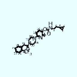 O=C(NCCC1CC1)Oc1ccc(N2CCN(C(=O)Cc3ccccc3C(F)(F)F)CC2)nn1